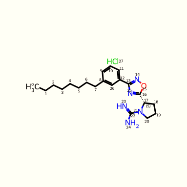 CCCCCCCCc1cccc(-c2noc([C@@H]3CCCN3C(=N)N)n2)c1.Cl